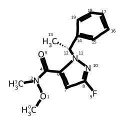 CON(C)C(=O)c1cc(F)nn1[C@H](C)c1ccccc1